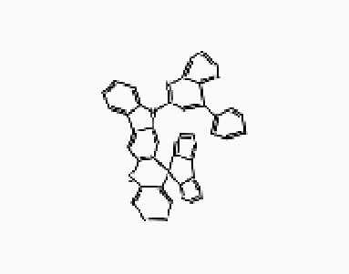 c1ccc(-c2cc(-n3c4ccccc4c4cc5c(cc43)C3(c4ccccc4S5)c4ccccc4-c4ccccc43)nc3ccccc23)cc1